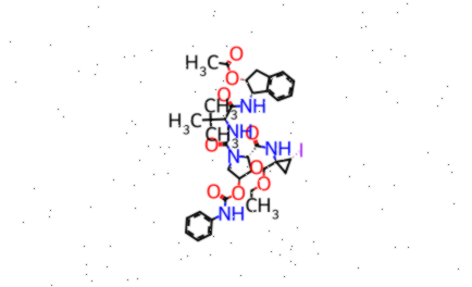 CCOC(=O)[C@@]1(NC(=O)[C@@H]2C[C@@H](OC(=O)Nc3ccccc3)CN2C(=O)N[C@H](C(=O)N[C@H]2c3ccccc3C[C@H]2OC(C)=O)C(C)(C)C)C[C@H]1I